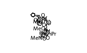 CC[C@H](C)[C@@H]([C@@H](CC(=O)N1CCC[C@H]1[C@H](OC)[C@H](C)C(=O)N[C@@]1(C(=O)N2CCCCO2)C[C@@H]1c1ccccc1)OC)N(C)[C@H](C(=O)NC(=O)[C@@H](NC)C(C)C)C(C)C